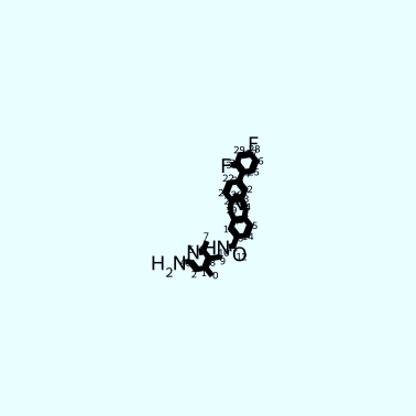 Cc1cc(N)nc(C)c1CNC(=O)c1ccc2c(c1)C1c3ccc(-c4ccc(F)cc4F)cc3C2N1C